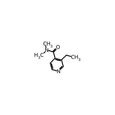 CCc1cnccc1C(=O)N(C)C